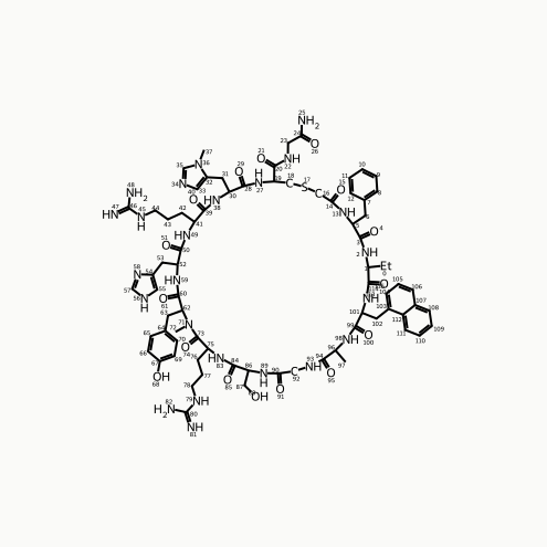 CCC1NC(=O)C(Cc2ccccc2)NC(=O)CSCC(C(=O)NCC(N)=O)NC(=O)C(Cc2cncn2C)NC(=O)C(CCCNC(=N)N)NC(=O)C(Cc2c[nH]cn2)NC(=O)C(Cc2ccc(O)cc2)N(C)C(=O)C(CCCNC(=N)N)NC(=O)C(CO)NC(=O)CNC(=O)C(C)NC(=O)C(Cc2cccc3ccccc23)NC1=O